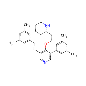 Cc1cc(C)cc(/C=C/c2cncc(-c3cc(C)cc(C)c3)c2OCCC2CCCCN2)c1